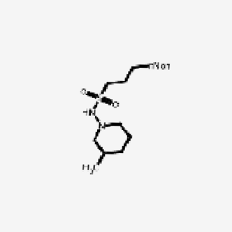 CCCCCCCCCCCCS(=O)(=O)NN1CCCC(C)C1